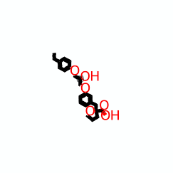 CCc1ccc(OC[C@@H](O)COc2cccc(CC3(C(=O)O)CCCO3)c2)cc1